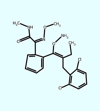 CC/C(Cc1c(Cl)cccc1Cl)=C(\ON)c1ccccc1C(=NOC)C(=O)NC